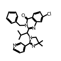 CC(C)C(c1nc2cc(Cl)ccc2c(=O)n1Cc1ccccc1)N1CC(C)(C)N=C1c1cccnc1